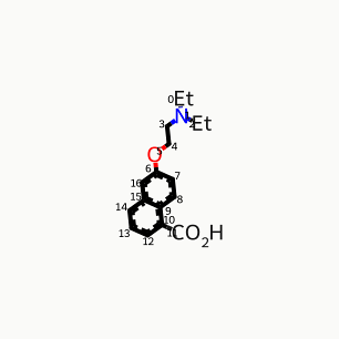 CCN(CC)CCOc1ccc2c(C(=O)O)cccc2c1